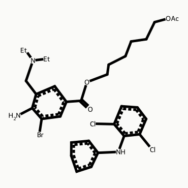 CCN(CC)Cc1cc(C(=O)OCCCCCCOC(C)=O)cc(Br)c1N.Clc1cccc(Cl)c1Nc1ccccc1